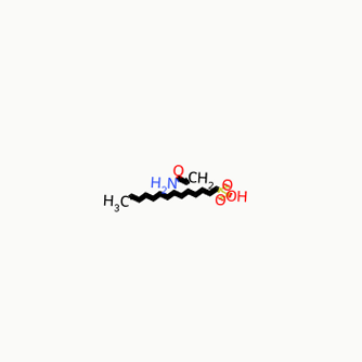 C=CC(N)=O.CCCCCCCCCCCCCCS(=O)(=O)O